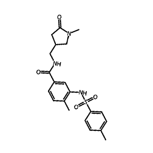 Cc1ccc(S(=O)(=O)Nc2cc(C(=O)NCC3CC(=O)N(C)C3)ccc2C)cc1